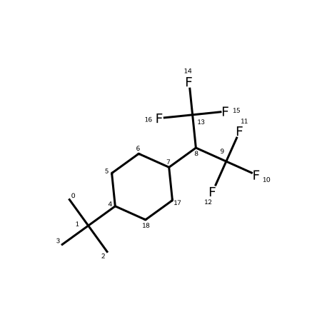 CC(C)(C)C1CCC(C(C(F)(F)F)C(F)(F)F)CC1